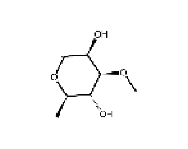 CO[C@H]1[C@H](O)[C@@H](C)O[CH][C@H]1O